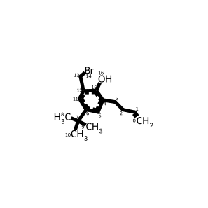 C=CCCc1cc(C(C)(C)C)cc(CBr)c1O